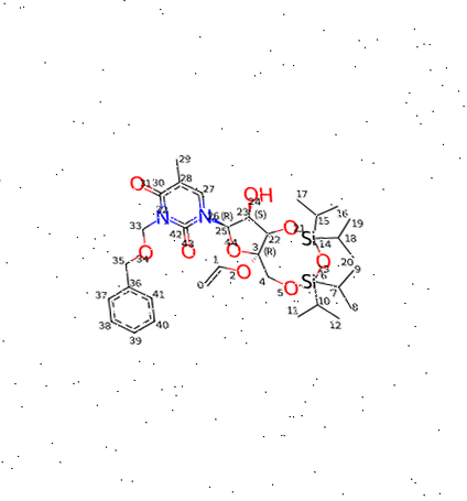 C=CO[C@@]12CO[Si](C(C)C)(C(C)C)O[Si](C(C)C)(C(C)C)OC1[C@H](O)[C@H](n1cc(C)c(=O)n(COCc3ccccc3)c1=O)O2